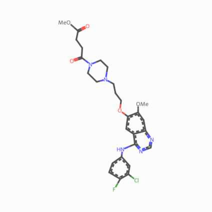 COC(=O)CCC(=O)N1CCN(CCCOc2cc3c(Nc4ccc(F)c(Cl)c4)ncnc3cc2OC)CC1